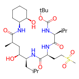 CC(C)C[C@H](NC(=O)[C@H](CCS(C)(=O)=O)NC(=O)[C@@H](NC(=O)OC(C)(C)C)C(C)C)[C@@H](O)C[C@@H](C)C(=O)N[C@H]1CCCC[C@H]1O